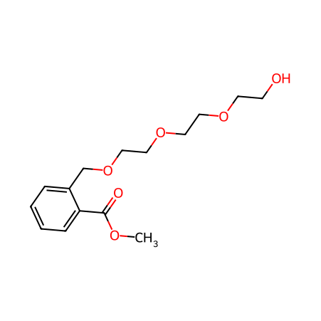 COC(=O)c1ccccc1COCCOCCOCCO